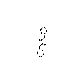 O=C(CC1C=CCCC1)NCc1ccccc1